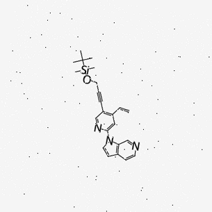 C=Cc1cc(-n2ccc3ccncc32)ncc1C#CCO[Si](C)(C)C(C)(C)C